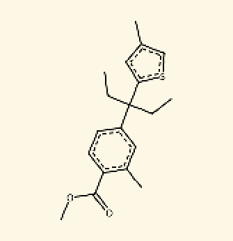 CCC(CC)(c1ccc(C(=O)OC)c(C)c1)c1cc(C)cs1